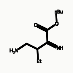 CCCCOC(=O)C(=N)C(CC)CN